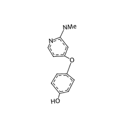 CNc1cc(Oc2ccc(O)cc2)ccn1